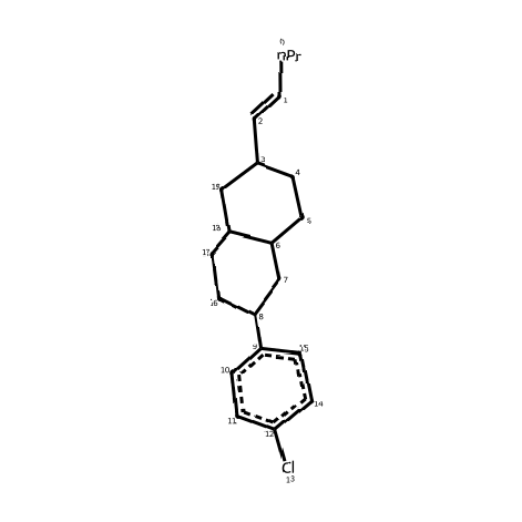 CCC/C=C/C1CCC2CC(c3ccc(Cl)cc3)CCC2C1